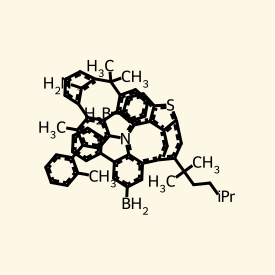 Bc1cc(-c2ccccc2)c2c(c1)c1cc3c(cc1C(C)(C)CCC(C)C)sc1ccc(B)c(c13)n2-c1cc(-c2ccccc2C)c(C)c2c1-c1ccccc1C(C)(C)c1cccc-2c1N